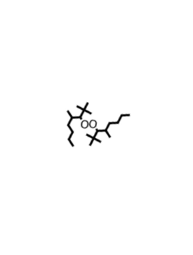 CCCCC(C)C(OOC(C(C)CCCC)C(C)(C)C)C(C)(C)C